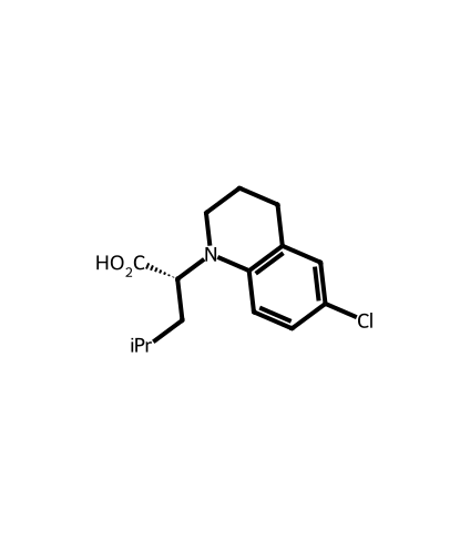 CC(C)C[C@H](C(=O)O)N1CCCc2cc(Cl)ccc21